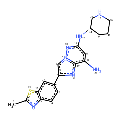 Cc1nc2ccc(-c3cn4nc(N[C@H]5CCCNC5)cc(N)c4n3)cc2s1